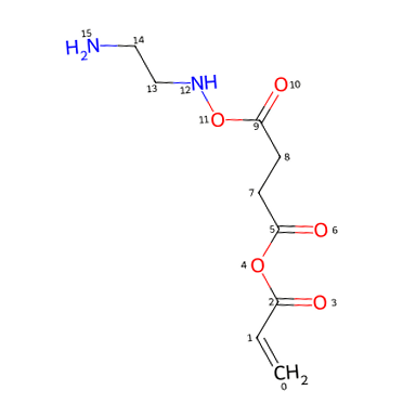 C=CC(=O)OC(=O)CCC(=O)ONCCN